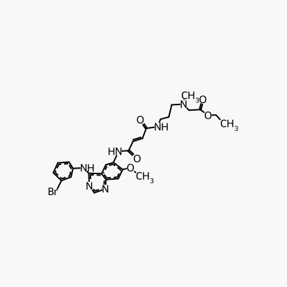 CCOC(=O)CN(C)CCCNC(=O)C=CC(=O)Nc1cc2c(Nc3cccc(Br)c3)ncnc2cc1OC